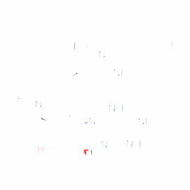 CCN1CNC(N)C2NCN([C@@H]3O[C@H](CN(CC)[C@H]4C[C@H](CCC5Nc6cc(C(C)(C)C)ccc6N5C)C4)[C@@H](O)[C@H]3O)C21